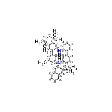 Cc1cc(-c2cc3c(cc2Nc2ccccc2)C(C)(C)CCC3(C)C)c2c(c1)N1c3cc4ccccc4cc3C(C)(C)c3cccc(c31)B2